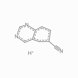 N#Cc1ccc2ncncc2c1.[H+]